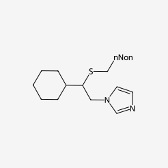 CCCCCCCCCCSC(Cn1ccnc1)C1CCCCC1